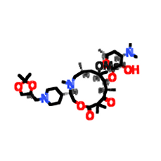 CO[C@]1(C)C[C@@H](C)CN(C)[C@@H](C2CCN(C[C@H]3COC(C)(C)O3)CC2)COC(=O)C(C)(C)C(=O)[C@H](C)[C@H]1O[C@@H]1O[C@H](C)C[C@H](N(C)C)[C@H]1O